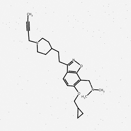 CC#CCN1CCC(CCc2noc3c(CN(C)C)c(OCC4CC4)ccc23)CC1